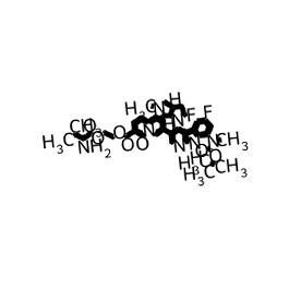 CC(C)[C@H](N)C(=O)OCCOC(=O)c1ccc2ccc(-c3cnc4[nH]c5c(N(C)C(=O)OC(C)(C)C)cc(F)c(F)c5c4c3N3CC[C@H]4CN(C)C[C@H]43)cn2c1=O